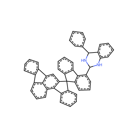 c1ccc(C2NC(c3cccc4c3-c3ccccc3C43c4ccccc4-c4c3cc3c5c(cccc45)-c4ccccc4-3)Nc3ccccc32)cc1